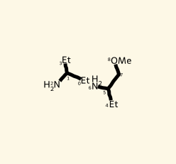 CCC(N)CC.CCC(N)COC